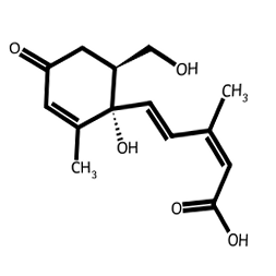 CC1=CC(=O)C[C@@H](CO)[C@@]1(O)/C=C/C(C)=C\C(=O)O